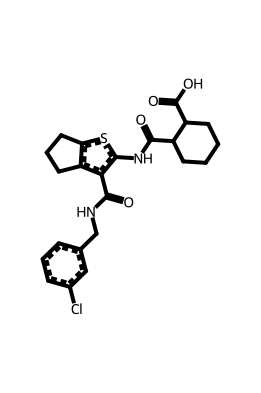 O=C(NCc1cccc(Cl)c1)c1c(NC(=O)C2CCCCC2C(=O)O)sc2c1CCC2